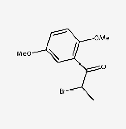 COc1ccc(OC)c(C(=O)C(C)Br)c1